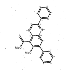 COC(=O)c1c(OC)c(-c2ccccn2)cc2nc(-c3ccccc3)cnc12